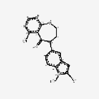 Cc1cc2cc(N3CCOc4ncnc(N)c4C3=O)ccc2n1C